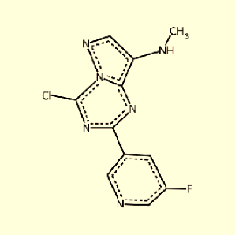 CNc1cnn2c(Cl)nc(-c3cncc(F)c3)nc12